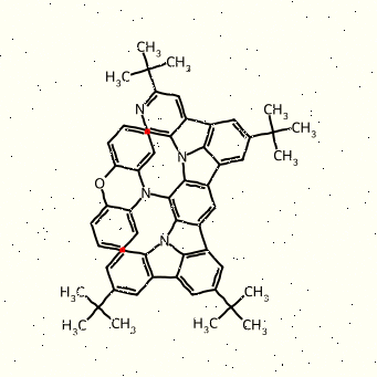 CC(C)(C)c1ccc2c(c1)c1cc(C(C)(C)C)cc3c4cc5c6cc(C(C)(C)C)cc7c8cc(C(C)(C)C)ncc8n(c5c(N5c8ccccc8Oc8ccccc85)c4n2c13)c76